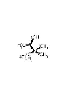 CC(O)[N+](C)(C)C.Cl